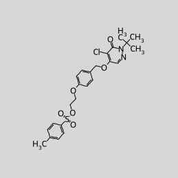 Cc1ccc(S(=O)(=O)OCCOc2ccc(COc3cnn(C(C)(C)C)c(=O)c3Cl)cc2)cc1